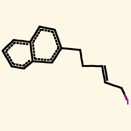 ICC=CCCc1ccc2ccccc2c1